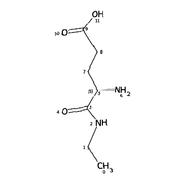 C[CH]NC(=O)[C@@H](N)CCC(=O)O